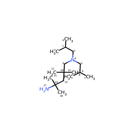 CC(C)CN(CC(C)C)CC(C)(C)CC(C)(C)N